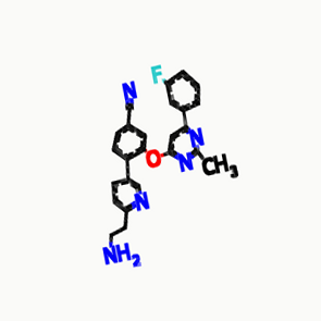 Cc1nc(Oc2cc(C#N)ccc2-c2ccc(CCN)nc2)cc(-c2cccc(F)c2)n1